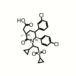 C[C@]1(CC(=O)O)CC(c2cccc(Cl)c2)[C@@H](c2ccc(Cl)cc2)N(C(CS(=O)(=O)C2CC2)C2CC2)C1=O